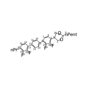 CCCCCC1OCC(c2ccc(-c3ccc(-c4ccc(CCC)c(F)c4F)cc3)c(F)c2F)CO1